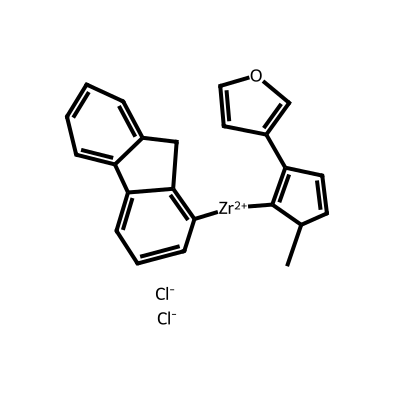 CC1C=CC(c2ccoc2)=[C]1[Zr+2][c]1cccc2c1Cc1ccccc1-2.[Cl-].[Cl-]